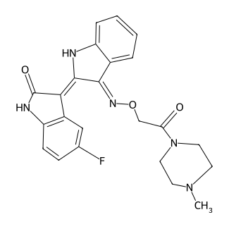 CN1CCN(C(=O)CO/N=C2/C(=C3/C(=O)Nc4ccc(F)cc43)Nc3ccccc32)CC1